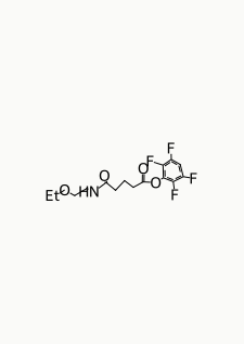 CCOCCNC(=O)CCCC(=O)Oc1c(F)c(F)cc(F)c1F